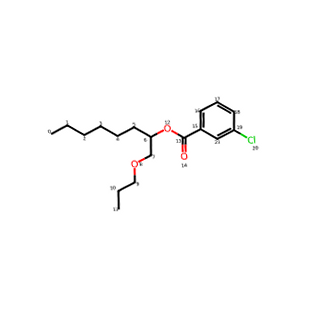 CCCCCCC(COCCC)OC(=O)c1cccc(Cl)c1